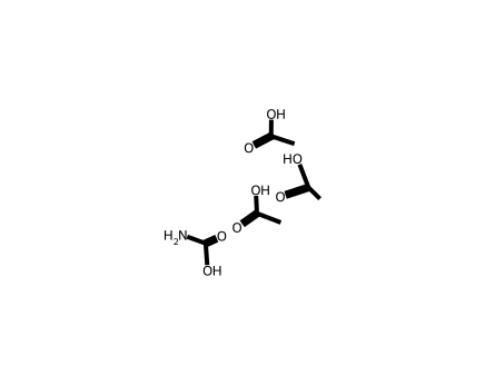 CC(=O)O.CC(=O)O.CC(=O)O.NC(=O)O